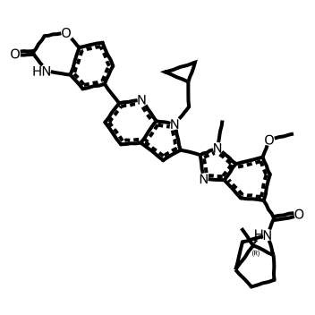 COc1cc(C(=O)N2CC3CCC2[C@@H]3C)cc2nc(-c3cc4ccc(-c5ccc6c(c5)NC(=O)CO6)nc4n3CC3CC3)n(C)c12